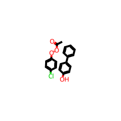 CC(=O)OOc1ccc(Cl)cc1.Oc1ccc(-c2ccccc2)cc1